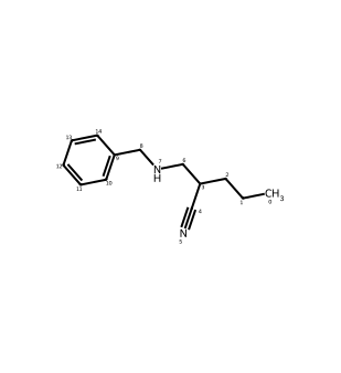 CCCC(C#N)CNCc1ccccc1